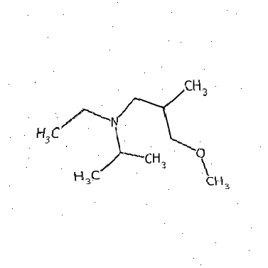 CCN(CC(C)COC)C(C)C